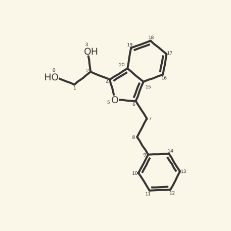 OCC(O)c1oc(CCc2ccccc2)c2ccccc12